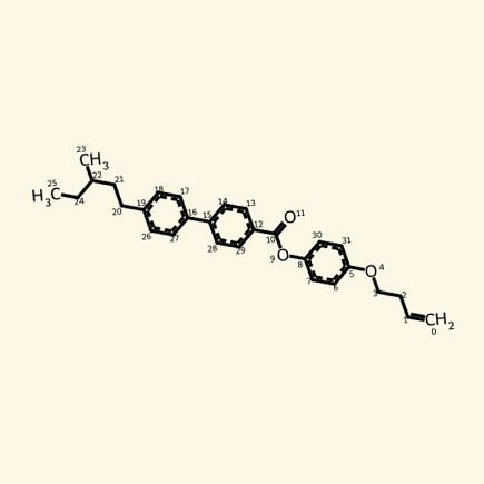 C=CCCOc1ccc(OC(=O)c2ccc(-c3ccc(CCC(C)CC)cc3)cc2)cc1